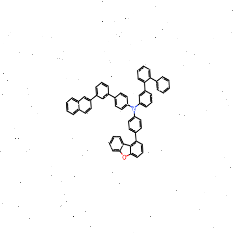 c1ccc(-c2ccccc2-c2cccc(N(c3ccc(-c4cccc(-c5ccc6ccccc6c5)c4)cc3)c3ccc(-c4cccc5oc6ccccc6c45)cc3)c2)cc1